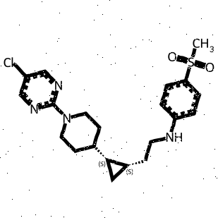 CS(=O)(=O)c1ccc(NCC[C@@H]2C[C@@H]2C2CCN(c3ncc(Cl)cn3)CC2)cc1